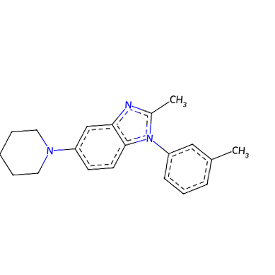 Cc1cccc(-n2c(C)nc3cc(N4CCCCC4)ccc32)c1